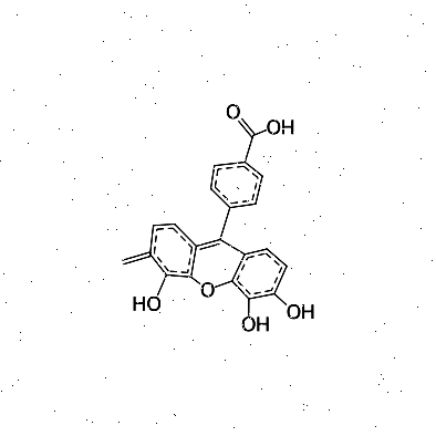 C=c1ccc2c(c1O)Oc1c(ccc(O)c1O)C=2c1ccc(C(=O)O)cc1